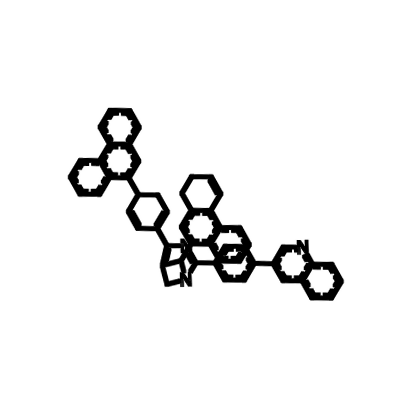 C1=Cc2c(cc(C3C4=C(C5=CCC(c6cc7ccccc7c7ccccc67)C=C5)N=C(c5ccc(-c6cnc7ccccc7c6)cc5)N3C4)c3ccccc23)CC1